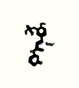 COc1ccc(/C=C/C(=O)Nc2cccc(Cl)c2)cc1OP(=O)([O-])[O-].[Na+].[Na+]